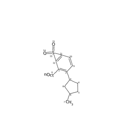 CCCCCCCCc1c(C2CCC(C)C2)ccc2c1S2(=O)=O